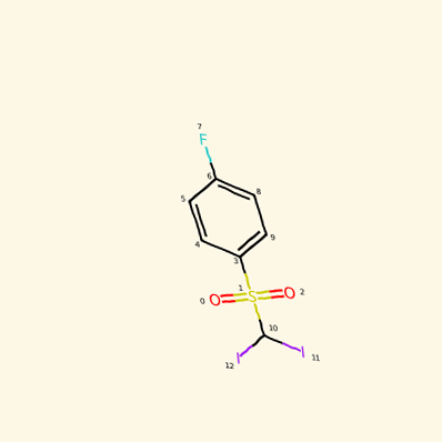 O=S(=O)(c1ccc(F)cc1)C(I)I